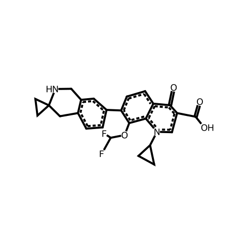 O=C(O)c1cn(C2CC2)c2c(OC(F)F)c(-c3ccc4c(c3)CNC3(CC3)C4)ccc2c1=O